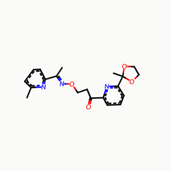 C/C(=N\OCCC(=O)c1cccc(C2(C)OCCO2)n1)c1cccc(C)n1